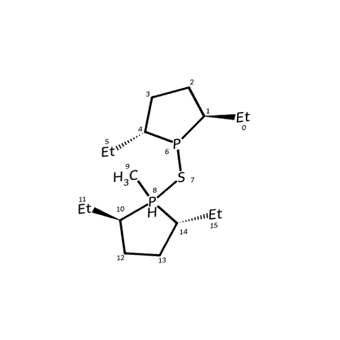 CC[C@@H]1CC[C@@H](CC)P1S[PH]1(C)[C@H](CC)CC[C@H]1CC